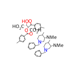 CNC1CN(Cc2ccccc2)CCC1C.CNC1CN(Cc2ccccc2)CCC1C.Cc1ccc(C(=O)O[C@](C(=O)O)(C(=O)c2ccc(C)cc2)[C@@H](O)C(=O)O)cc1